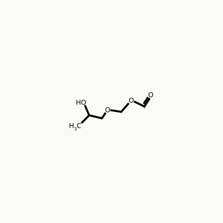 CC(O)COCO[C]=O